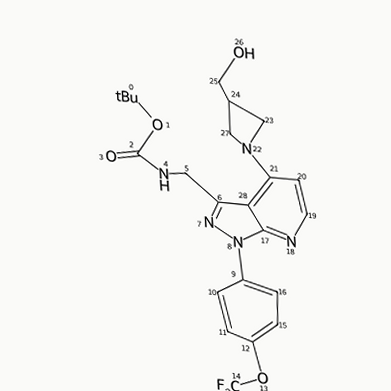 CC(C)(C)OC(=O)NCc1nn(-c2ccc(OC(F)(F)F)cc2)c2nccc(N3CC(CO)C3)c12